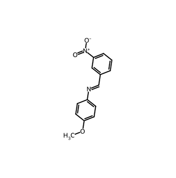 COc1ccc(N=Cc2cccc([N+](=O)[O-])c2)cc1